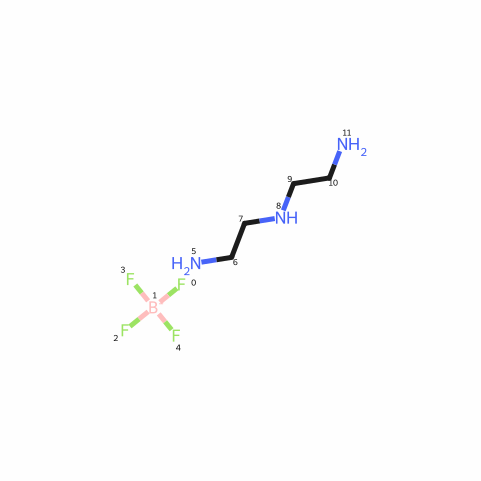 F[B-](F)(F)F.NCCNCCN